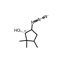 CC1CC(N=[N+]=[N-])[C@@H](O)C1(C)C